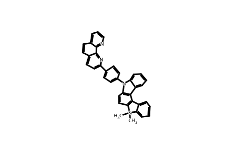 C[Si]1(C)c2ccccc2-c2c1ccc1c2c2ccccc2n1-c1ccc(-c2ccc3ccc4cccnc4c3n2)cc1